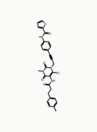 Cc1ccc(CCC(=O)Nc2c(Cl)n(CC#Cc3ccc(NC(=O)c4ccco4)cc3)c(=O)n(C)c2=O)cc1